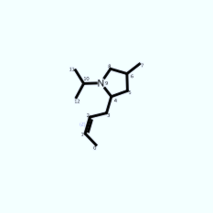 C/C=C\CC1CC(C)CN1C(C)C